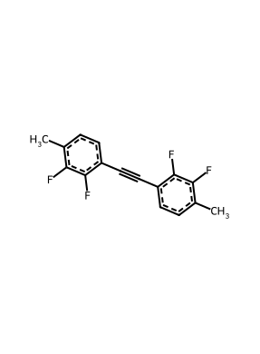 Cc1ccc(C#Cc2ccc(C)c(F)c2F)c(F)c1F